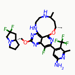 Cc1nc(N)cc(-c2nc3c4c(nc(OC[C@]56CCCN5CC(F)(F)C6)nc4c2F)NCCNC(C)C[C@H](C)O3)c1C(F)(F)F